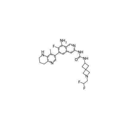 Cc1c(-c2cc3cc(NC(=O)NC4CC5(C4)CN(CC(F)F)C5)ncc3c(N)c2F)cnc2c1NCCC2